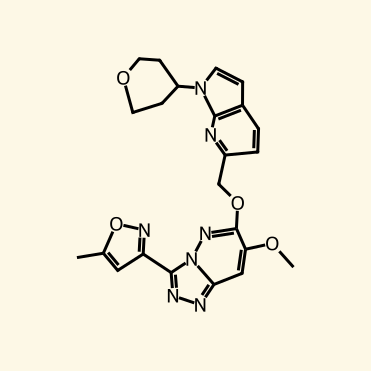 COc1cc2nnc(-c3cc(C)on3)n2nc1OCc1ccc2ccn(C3CCOCC3)c2n1